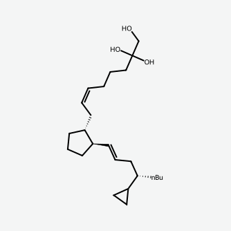 CCCC[C@@H](C/C=C/[C@H]1CCC[C@@H]1C/C=C\CCCC(O)(O)CO)C1CC1